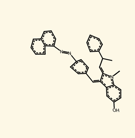 CC(/C=c1/c(=C\c2ccc(/N=N/c3cccc4ccccc34)cc2)c2cc(O)ccc2n1C)c1ccccc1